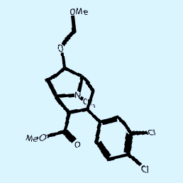 COCOC1CC2C(C(=O)OC)C(c3ccc(Cl)c(Cl)c3)CC1N2C